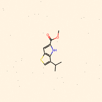 COC(=O)c1cc2scc(C(C)C)c2[nH]1